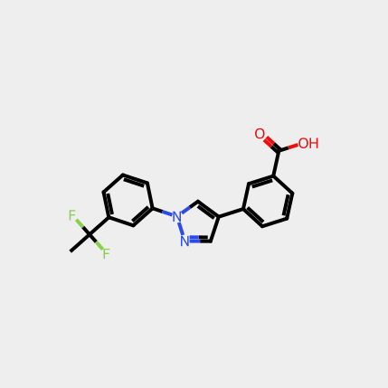 CC(F)(F)c1cccc(-n2cc(-c3cccc(C(=O)O)c3)cn2)c1